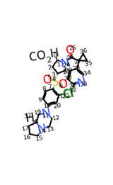 O=C(O)[C@@H]1C[C@@H](S(=O)(=O)c2ccc(N3CCN4CCC[C@H]4C3)cc2Cl)CN1C(=O)C1(c2ccc(Cl)nc2)CC1